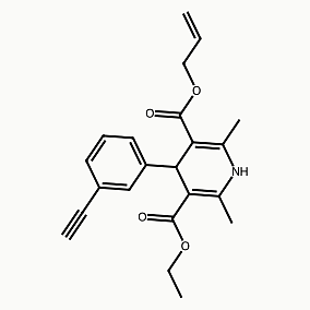 C#Cc1cccc(C2C(C(=O)OCC)=C(C)NC(C)=C2C(=O)OCC=C)c1